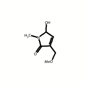 COCC1=CC(O)N(C)C1=O